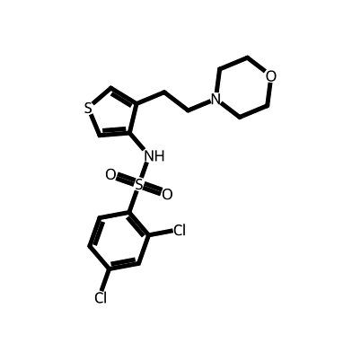 O=S(=O)(Nc1cscc1CCN1CCOCC1)c1ccc(Cl)cc1Cl